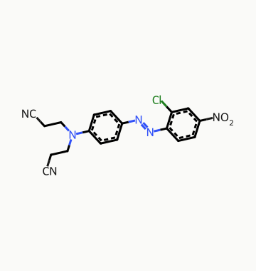 N#CCCN(CCC#N)c1ccc(N=Nc2ccc([N+](=O)[O-])cc2Cl)cc1